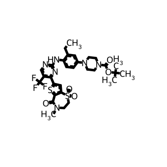 CCc1cc(N2CCN(C(=O)OC(C)(C)C)CC2)ccc1Nc1ncc(C(F)(F)F)c(-c2cc3c(s2)C(=O)N(C)CCS3(=O)=O)n1